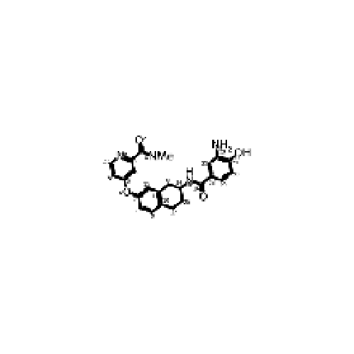 CNC(=O)c1cc(Oc2ccc3c(c2)CC(NC(=O)c2ccc(O)c(N)c2)CC3)ccn1